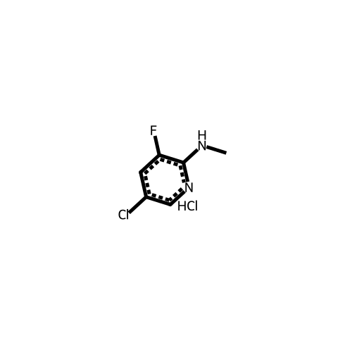 CNc1ncc(Cl)cc1F.Cl